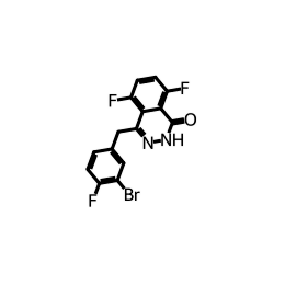 O=c1[nH]nc(Cc2ccc(F)c(Br)c2)c2c(F)ccc(F)c12